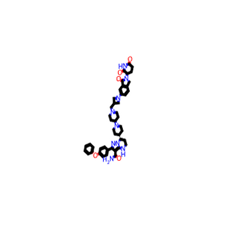 NC(=O)c1c(-c2ccc(Oc3ccccc3)cc2)nn2c1NCC[C@H]2C1CCN(C2CCN(CC3CN(c4ccc5c(c4)C(=O)N(C4CCC(=O)NC4=O)C5)C3)CC2)CC1